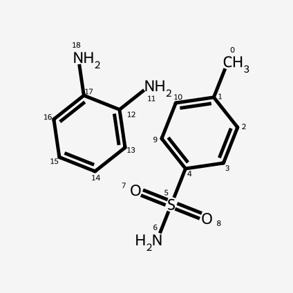 Cc1ccc(S(N)(=O)=O)cc1.Nc1ccccc1N